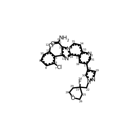 NC(=O)c1c(-c2c(Cl)cccc2Cl)nc2c3cc(-c4cnn(CC5(F)CCOCC5)c4)cnc3ccn12